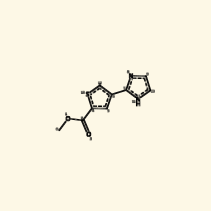 COC(=O)c1cc(-c2ncc[nH]2)cs1